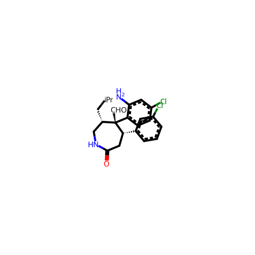 CC(C)C[C@H]1CNC(=O)C[C@@H](c2cccc(Cl)c2)[C@@]1(C=O)c1ccc(Cl)cc1N